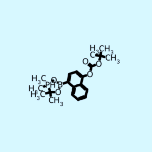 CC(C)(C)OC(=O)Oc1ccc(B2OC(C)(C)[PH](C)(C)O2)c2ccccc12